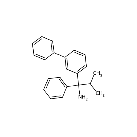 CC(C)C(N)(c1ccccc1)c1cccc(-c2ccccc2)c1